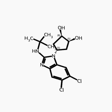 CC(C)(C)Nc1nc2cc(Cl)c(Cl)cc2n1[C@@H]1C[C@@H](O)[C@@H](O)C1